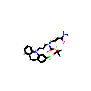 CNC(=O)/C=C/CN(CCCN1c2ccccc2CCc2ccc(Cl)cc21)C(=O)OC(C)(C)C